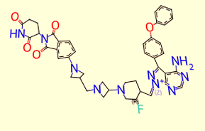 Nc1ncnc2c1C(c1ccc(Oc3ccccc3)cc1)=N/[N+]2=C\C1CCN(C2CN(CC3CN(c4ccc5c(c4)C(=O)N(C4CCC(=O)NC4=O)C5=O)C3)C2)C[C@@H]1F